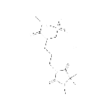 COC(=O)C(CCCN1C(=O)N(C)C(C)(C)C1=O)CS(=O)(=O)Cl.Cl